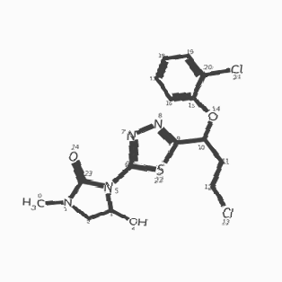 CN1CC(O)N(c2nnc(C(CCCl)Oc3ccccc3Cl)s2)C1=O